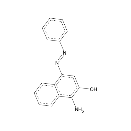 Nc1c(O)cc(N=Nc2ccccc2)c2ccccc12